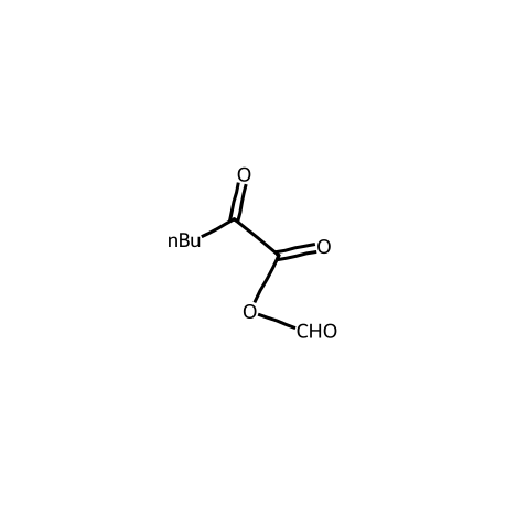 CCCCC(=O)C(=O)OC=O